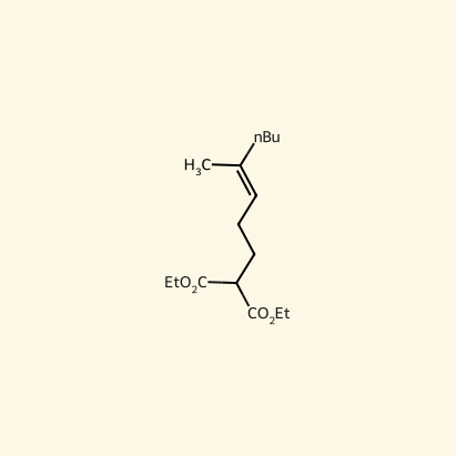 CCCCC(C)=CCCC(C(=O)OCC)C(=O)OCC